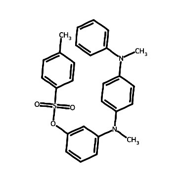 Cc1ccc(S(=O)(=O)Oc2cccc(N(C)c3ccc(N(C)c4ccccc4)cc3)c2)cc1